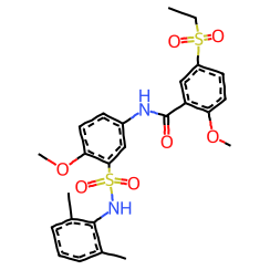 CCS(=O)(=O)c1ccc(OC)c(C(=O)Nc2ccc(OC)c(S(=O)(=O)Nc3c(C)cccc3C)c2)c1